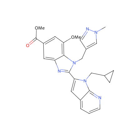 COC(=O)c1cc(OC)c2c(c1)nc(-c1cc3cccnc3n1CC1CC1)n2Cc1cnn(C)c1